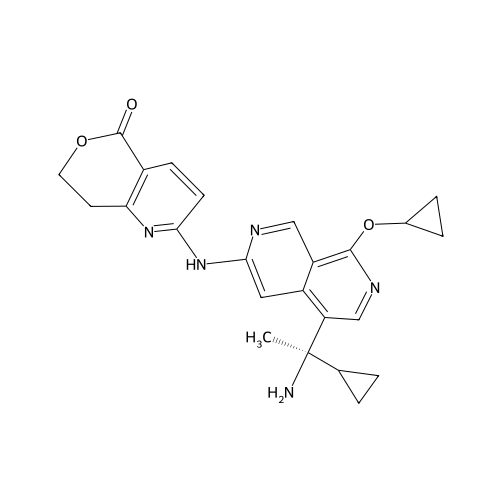 C[C@](N)(c1cnc(OC2CC2)c2cnc(Nc3ccc4c(n3)CCOC4=O)cc12)C1CC1